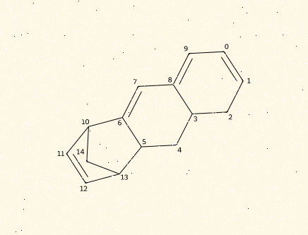 C1=CCC2CC3C(=CC2=C1)C1C=CC3C1